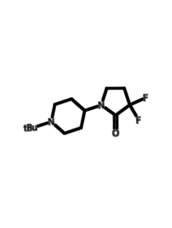 CC(C)(C)N1CCC(N2CCC(F)(F)C2=O)CC1